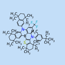 Cc1cc(C(C)(C)C)ccc1N1c2cc(C(F)(F)F)cc3c2B(c2cc4c(cc2N3c2ccc3c(c2)C(C)(C)CCC3(C)C)C(C)(C)CCC4(C)C)c2sc3c(c21)C(C)(C)CCC3(C)C